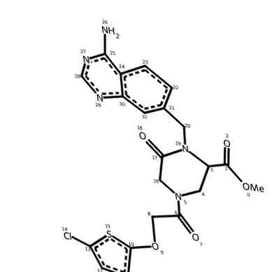 COC(=O)C1CN(C(=O)COc2ccc(Cl)s2)CC(=O)N1Cc1ccc2c(N)ncnc2c1